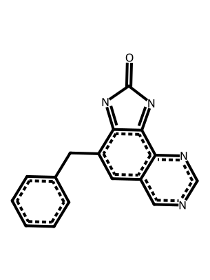 O=C1N=c2c(Cc3ccccc3)cc3cncnc3c2=N1